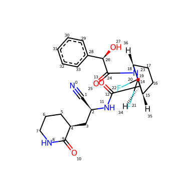 N#C[C@H](C[C@@H]1CCCNC1=O)NC(=O)[C@@H]1[C@H]2CC[C@H](CC2(F)F)N1C(=O)[C@H](O)c1ccccc1